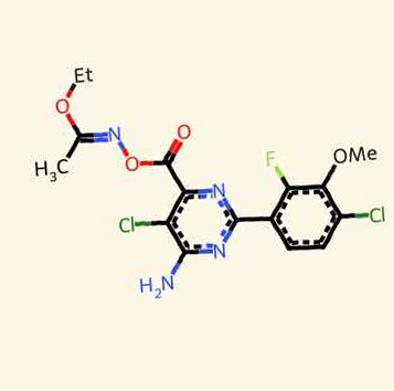 CCO/C(C)=N/OC(=O)c1nc(-c2ccc(Cl)c(OC)c2F)nc(N)c1Cl